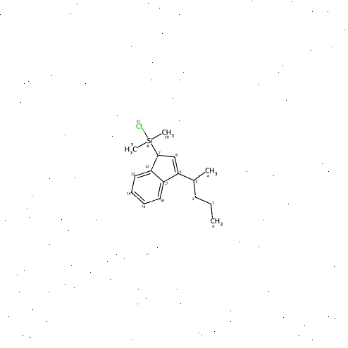 CCCC(C)C1=CC([Si](C)(C)Cl)c2ccccc21